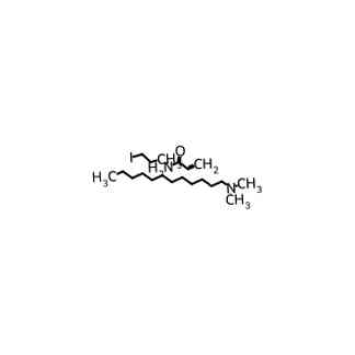 C=CC(N)=O.CCCCCCCCCCCCN(C)C.CCCI